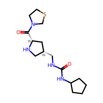 O=C(NC[C@@H]1CN[C@H](C(=O)N2CCSC2)C1)NC1CCCC1